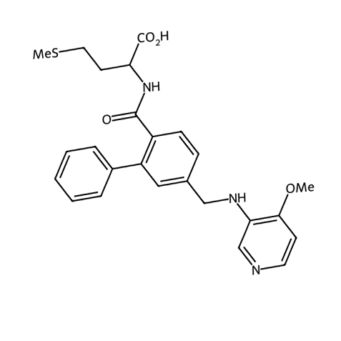 COc1ccncc1NCc1ccc(C(=O)NC(CCSC)C(=O)O)c(-c2ccccc2)c1